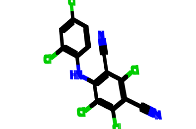 N#Cc1c(Cl)c(Cl)c(Nc2ccc(Cl)cc2Cl)c(C#N)c1Cl